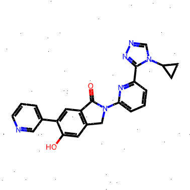 O=C1c2cc(-c3cccnc3)c(O)cc2CN1c1cccc(-c2nncn2C2CC2)n1